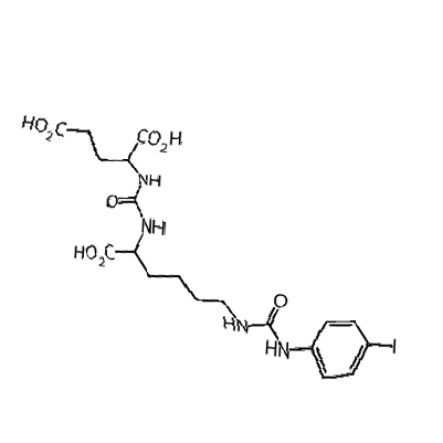 O=C(O)CCC(NC(=O)NC(CCCCNC(=O)Nc1ccc(I)cc1)C(=O)O)C(=O)O